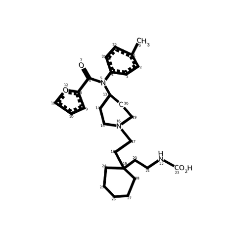 Cc1ccc(N(C(=O)c2ccco2)C2CCN(CCC3(CCNC(=O)O)CCCCC3)CC2)cc1